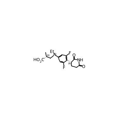 CCN(C[C@@H](C)C(=O)O)c1cc(F)c([C@H]2CCC(=O)NC2=O)c(F)c1